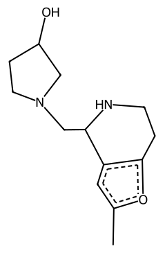 Cc1cc2c(o1)CCNC2CN1CCC(O)C1